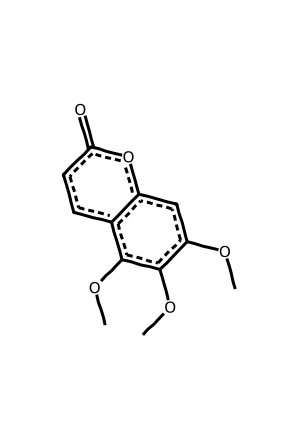 COc1cc2oc(=O)ccc2c(OC)c1OC